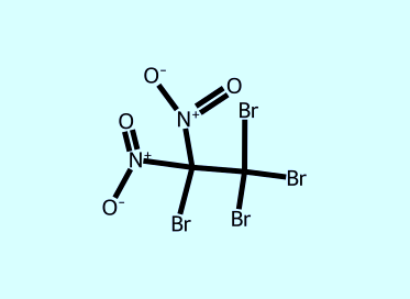 O=[N+]([O-])C(Br)([N+](=O)[O-])C(Br)(Br)Br